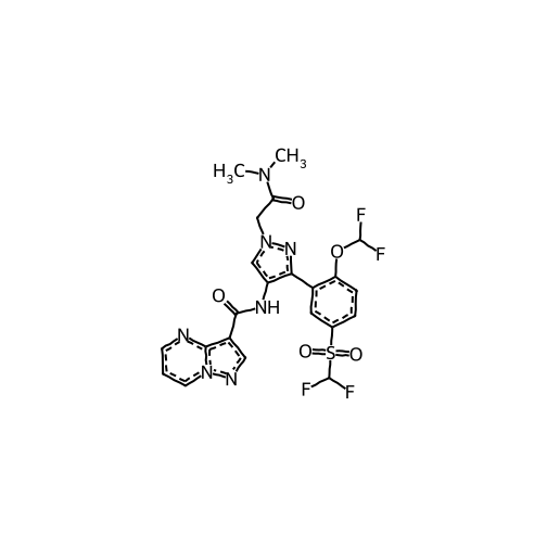 CN(C)C(=O)Cn1cc(NC(=O)c2cnn3cccnc23)c(-c2cc(S(=O)(=O)C(F)F)ccc2OC(F)F)n1